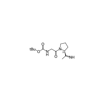 CC(=N)[C@@H]1CCCN1C(=O)CNC(=O)OC(C)(C)C